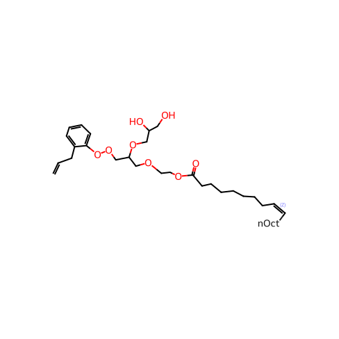 C=CCc1ccccc1OOCC(COCCOC(=O)CCCCCCC/C=C\CCCCCCCC)OCC(O)CO